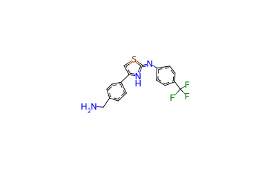 NCc1ccc(-c2csc(=Nc3ccc(C(F)(F)F)cc3)[nH]2)cc1